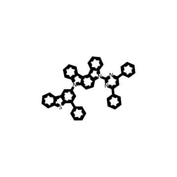 c1ccc(-c2cc(-c3ccccc3)nc(-n3c4ccccc4c4c5c6ccccc6n(-c6cc(-c7ccccc7)c7sc8ccccc8c7c6)c5ccc43)n2)cc1